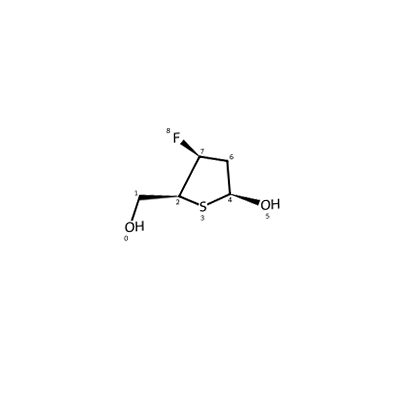 OC[C@@H]1S[C@H](O)C[C@@H]1F